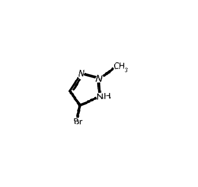 CN1N=CC(Br)N1